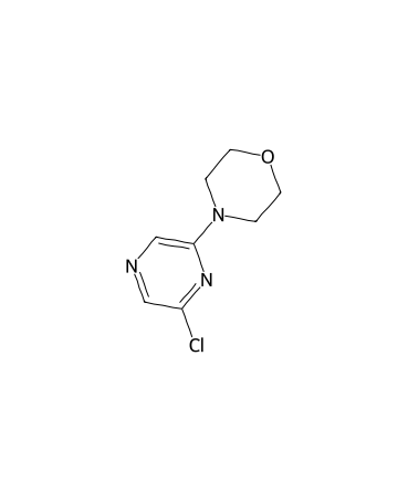 Clc1cncc(N2CCOCC2)n1